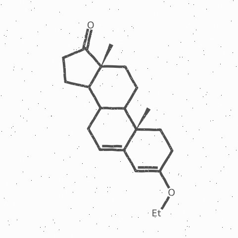 CCOC1=CC2=CCC3C4CCC(=O)[C@]4(C)CCC3[C@]2(C)CC1